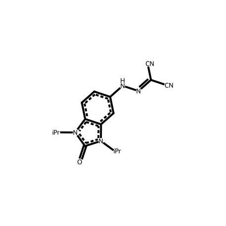 CC(C)n1c(=O)n(C(C)C)c2cc(NN=C(C#N)C#N)ccc21